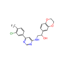 OC(CNc1cc(-c2ccc(C(F)(F)F)c(Cl)c2)ncn1)c1ccc2c(c1)OCCO2